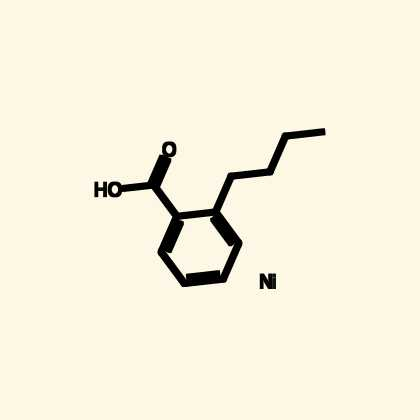 CCCCc1ccccc1C(=O)O.[Ni]